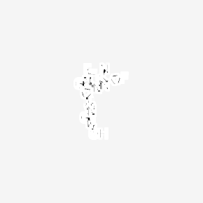 CN(c1nc(-c2ccc(F)cc2)c(C#N)s1)c1cn(CC(F)F)c(=O)c2ccc(N3CCN(CC(=O)N4CC(O)C4)CC3)cc12